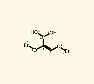 CCO/C=C(/OCC)P(O)O